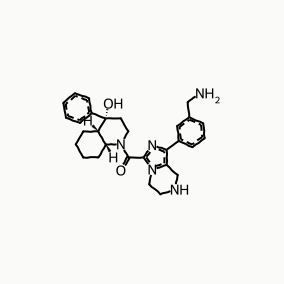 NCc1cccc(-c2nc(C(=O)N3CC[C@](O)(c4ccccc4)[C@H]4CCCC[C@H]43)n3c2CNCC3)c1